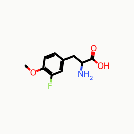 COc1ccc(CC(N)C(=O)O)cc1F